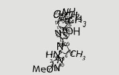 COc1cc(Nc2cc(C)cc(-c3cnc([C@@]4(O)CC[C@H](C(N)=O)C(C)(C)C4)s3)n2)ncn1